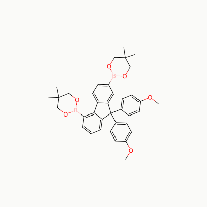 COc1ccc(C2(c3ccc(OC)cc3)c3cc(B4OCC(C)(C)CO4)ccc3-c3c(B4OCC(C)(C)CO4)cccc32)cc1